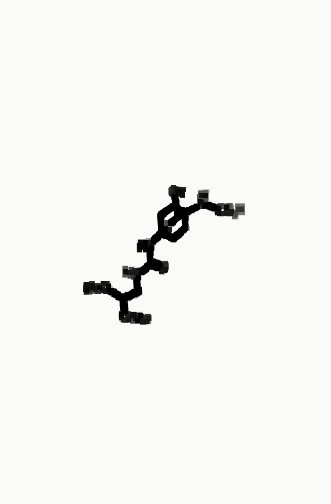 COC(CNC(=O)NC12CCC(NC(=O)O)(CC1)C(O)C2)OC